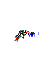 Cc1c(Oc2cc[nH]/c(=N\C=N)c2)ccc(Nc2ncnc3ccc(NC(=O)OC(C)(C)C)c(F)c23)c1F